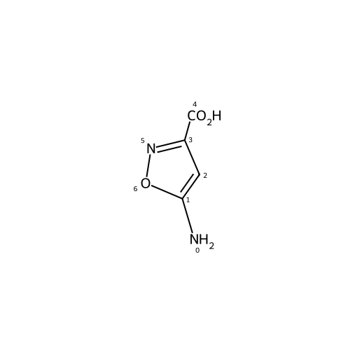 Nc1cc(C(=O)O)no1